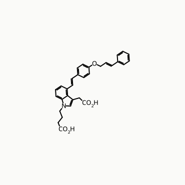 O=C(O)CCCn1cc(CC(=O)O)c2c(/C=C/c3ccc(OC/C=C/c4ccccc4)cc3)cccc21